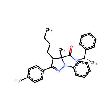 CCCCC1C(c2ccc(C)cc2)=NN(c2ccccc2)C1(C)C(=O)N[C@@H](C)c1ccccc1